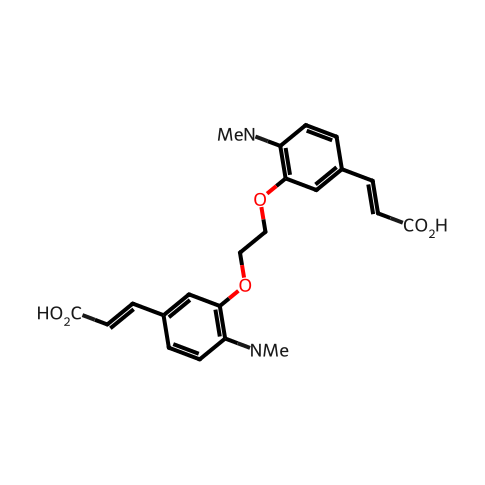 CNc1ccc(/C=C/C(=O)O)cc1OCCOc1cc(/C=C/C(=O)O)ccc1NC